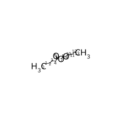 CCCCCC(=O)OCOCCCC